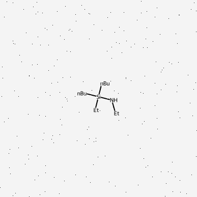 CCCC[Si](CC)(CCCC)NCC